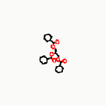 O=C(OCC(COC(=O)C1CCCCC1)OC(=O)C1CCCCC1)C1CCCCC1